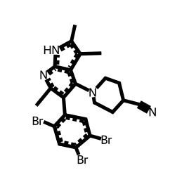 Cc1nc2[nH]c(C)c(C)c2c(N2CCC(C#N)CC2)c1-c1cc(Br)c(Br)cc1Br